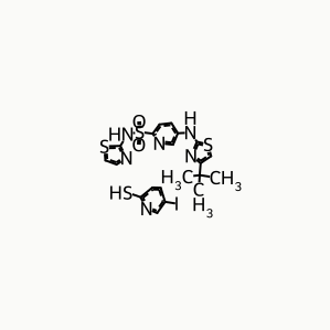 CC(C)(C)c1csc(Nc2ccc(S(=O)(=O)Nc3nccs3)nc2)n1.Sc1ccc(I)cn1